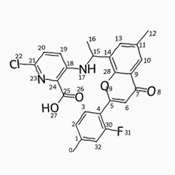 Cc1ccc(-c2cc(=O)c3cc(C)cc(C(C)Nc4ccc(Cl)nc4C(=O)O)c3o2)c(F)c1